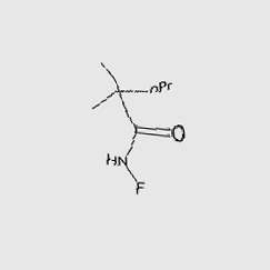 CCCC(C)(C)C(=O)NF